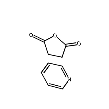 O=C1CCC(=O)O1.c1ccncc1